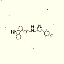 Fc1ccc(-c2cncc(CNCCOc3cccc4[nH]c5ccccc5c34)c2)cc1